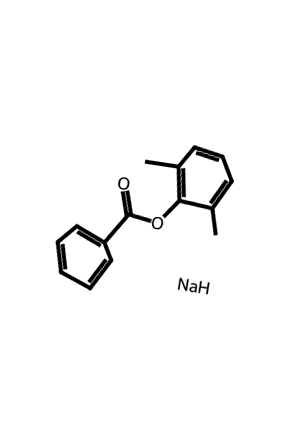 Cc1cccc(C)c1OC(=O)c1ccccc1.[NaH]